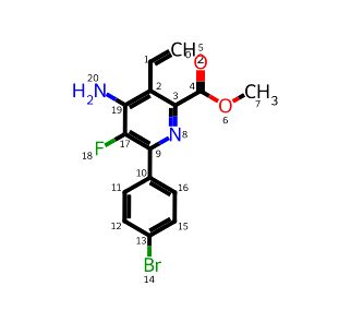 C=Cc1c(C(=O)OC)nc(-c2ccc(Br)cc2)c(F)c1N